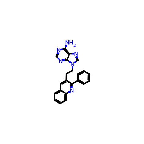 Nc1ncnc2c1ncn2CCc1cc2ccccc2nc1-c1ccccc1